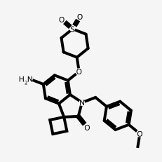 COc1ccc(CN2C(=O)C3(CCC3)c3cc(N)cc(OC4CCS(=O)(=O)CC4)c32)cc1